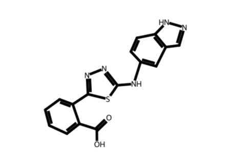 O=C(O)c1ccccc1-c1nnc(Nc2ccc3[nH]ncc3c2)s1